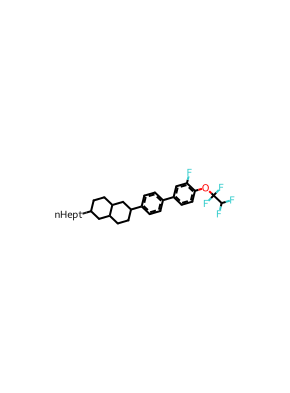 CCCCCCCC1CCC2CC(c3ccc(-c4ccc(OC(F)(F)C(F)F)c(F)c4)cc3)CCC2C1